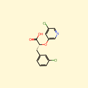 O=C(O)[C@@H](Cc1cccc(Cl)c1)Oc1cncc(Cl)c1